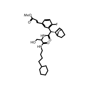 COC(=O)C=Cc1ccc(F)c(C(C(=O)NC(CO)C(=O)NCCCCC2CCCCC2)[C@H]2CC3CCC2O3)c1